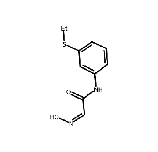 CCSc1cccc(NC(=O)/C=N\O)c1